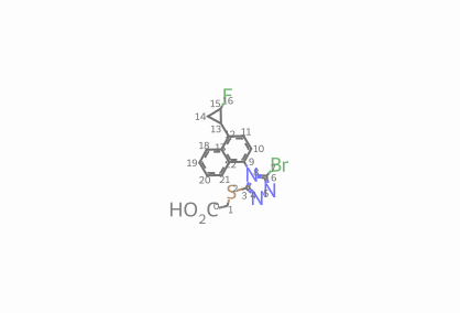 O=C(O)CSc1nnc(Br)n1-c1ccc(C2CC2F)c2ccccc12